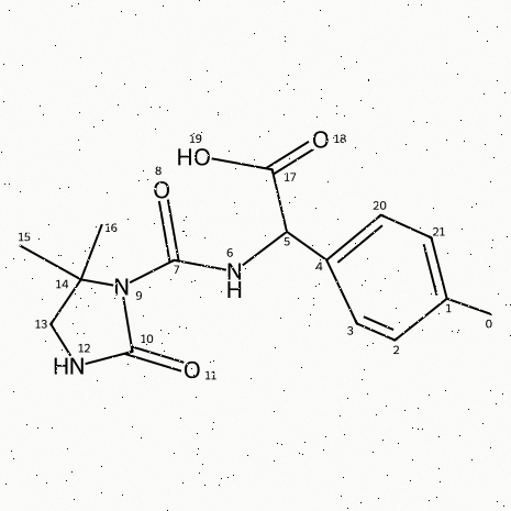 Cc1ccc(C(NC(=O)N2C(=O)NCC2(C)C)C(=O)O)cc1